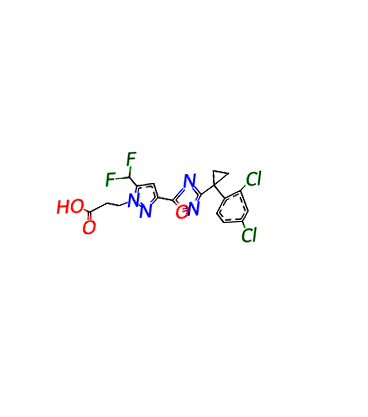 O=C(O)CCn1nc(-c2nc(C3(c4ccc(Cl)cc4Cl)CC3)no2)cc1C(F)F